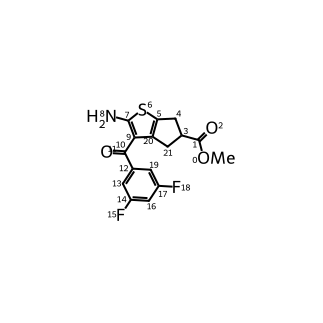 COC(=O)C1Cc2sc(N)c(C(=O)c3cc(F)cc(F)c3)c2C1